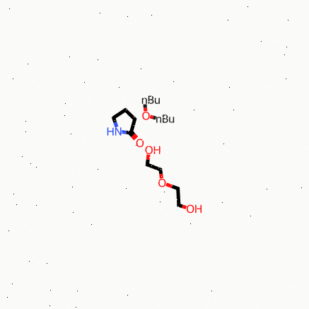 CCCCOCCCC.O=C1CCCN1.OCCOCCO